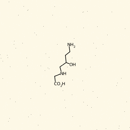 NCCC(O)CNCC(=O)O